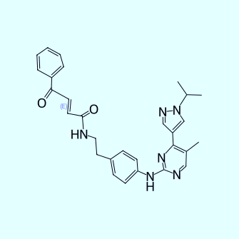 Cc1cnc(Nc2ccc(CCNC(=O)/C=C/C(=O)c3ccccc3)cc2)nc1-c1cnn(C(C)C)c1